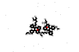 CCN=C1C=CC(=C(c2ccc(NCC)cc2)c2c(-c3ccccc3)n(CCCCN(CC)c3ccc(C(=C4C=CC(=NCC)C=C4)c4c(-c5ccccc5)n(CCCC(CC)CC)c5ccccc45)cc3)c3ccccc23)C=C1